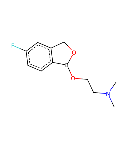 CN(C)CCOB1OCc2cc(F)ccc21